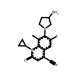 Cc1c(N2CCC(N)C2)c(F)cc2c(C#N)cc(=O)n(C3CC3)c12